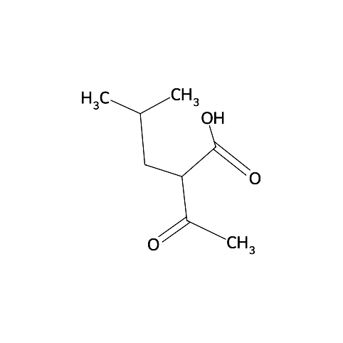 CC(=O)C(CC(C)C)C(=O)O